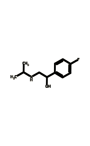 CC(C)NCC(O)c1ccc(F)cc1